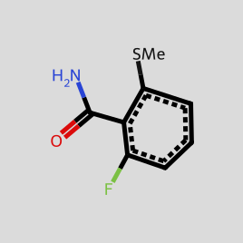 CSc1cccc(F)c1C(N)=O